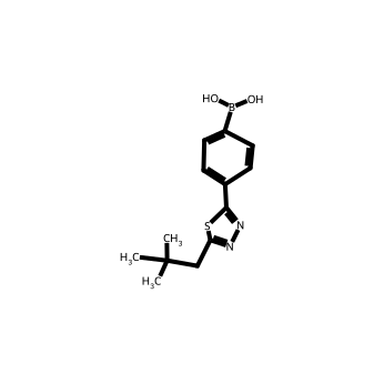 CC(C)(C)Cc1nnc(-c2ccc(B(O)O)cc2)s1